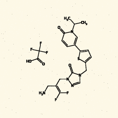 CC(C)n1cc(-c2ccc(Cn3cnn(CC(CN)=C(F)F)c3=O)s2)ccc1=O.O=C(O)C(F)(F)F